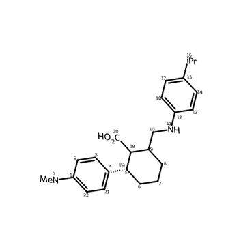 CNc1ccc([C@H]2CCCC(CNc3ccc(C(C)C)cc3)C2C(=O)O)cc1